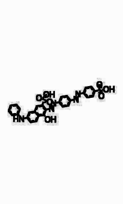 O=S(=O)(O)c1ccc(/N=N/c2ccc(/N=N/c3c(S(=O)(=O)O)cc4cc(Nc5ccccc5)ccc4c3O)cc2)cc1